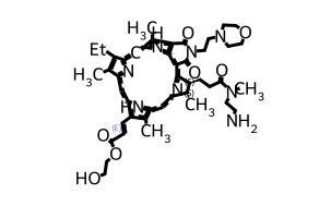 CCC1=C(C)c2cc3[nH]c(cc4nc(c5c6[nH]c(cc1n2)c(C)c6C(=O)N(CCN1CCOCC1)C5=O)[C@@H](CCC(=O)N(C)CCN)[C@@H]4C)c(C)c3/C=C/C(=O)OCCO